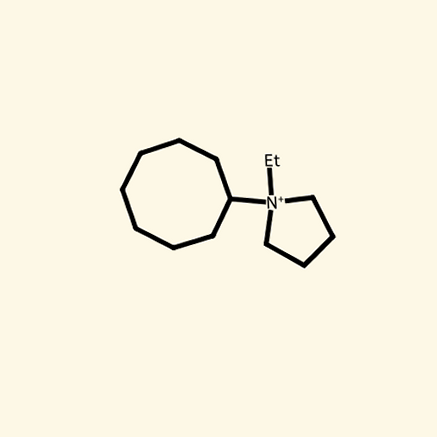 CC[N+]1(C2CCCCCCC2)CCCC1